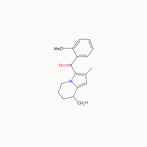 COc1ccccc1C(=O)c1c(C)cc2n1CCCC2C(=O)O